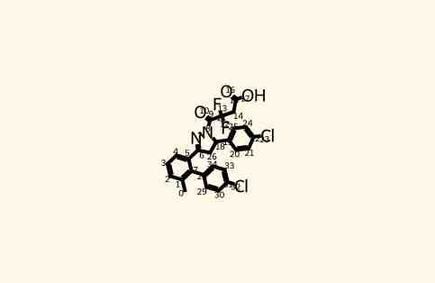 Cc1cccc(C2=NN(C(=O)C(F)(F)CC(=O)O)C(c3ccc(Cl)cc3)C2)c1-c1ccc(Cl)cc1